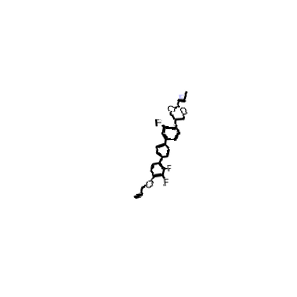 C=CCOc1ccc(-c2ccc(-c3ccc(C4COC(/C=C/C)OC4)c(F)c3)cc2)c(F)c1F